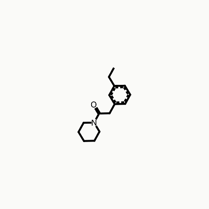 CCc1cccc(CC(=O)N2CCCCC2)c1